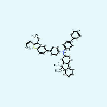 C=Cc1c(/C=C\C)sc2ccc(-c3ccc(N(c4ccc(-c5ccccc5)cc4)c4ccc5c(c4)C(C)(C)c4ccccc4-5)cc3)cc12